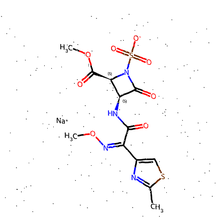 CON=C(C(=O)N[C@@H]1C(=O)N(S(=O)(=O)[O-])[C@@H]1C(=O)OC)c1csc(C)n1.[Na+]